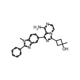 Cn1c(-c2ccccc2)nc2cc(-c3nc(C4CC(C)(O)C4)n4ccnc(N)c34)ccc21